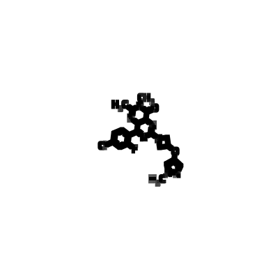 CC1=NC2C(c3ccc(Cl)cc3F)=NC(N3CC(Oc4cnn(C)c4)C3)=NC2C(=O)N1C